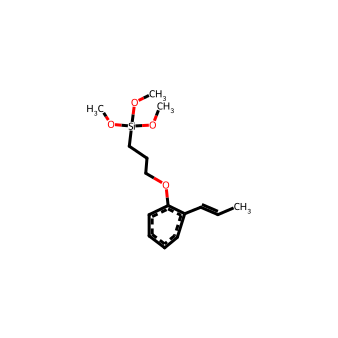 CC=Cc1ccccc1OCCC[Si](OC)(OC)OC